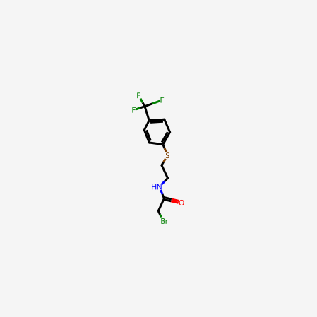 O=C(CBr)NCCSc1ccc(C(F)(F)F)cc1